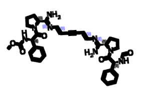 COC(=O)N[C@@H](C(=O)N1CCC[C@H]1/C(N)=N/C=C/C#C/C=C/N=C(\N)[C@@H]1CCCN1C(=O)[C@H](NC=O)c1ccccc1)c1ccccc1